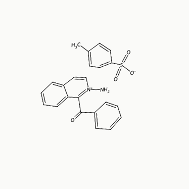 Cc1ccc(S(=O)(=O)[O-])cc1.N[n+]1ccc2ccccc2c1C(=O)c1ccccc1